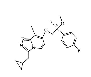 CO[C@](C)(COc1ccn2c(CC3CC3)nnc2c1C)c1ccc(F)cc1